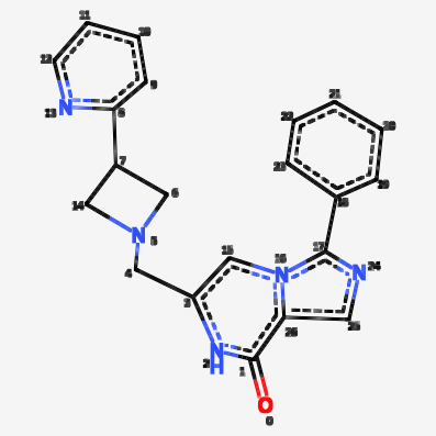 O=c1[nH]c(CN2CC(c3ccccn3)C2)cn2c(-c3ccccc3)ncc12